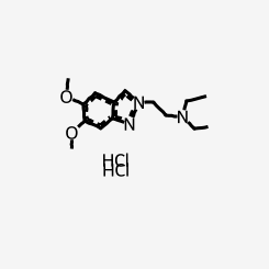 CCN(CC)CCn1cc2cc(OC)c(OC)cc2n1.Cl.Cl